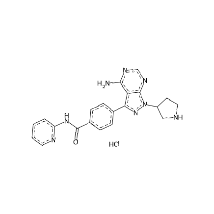 Cl.Nc1ncnc2c1c(-c1ccc(C(=O)Nc3ccccn3)cc1)nn2C1CCNC1